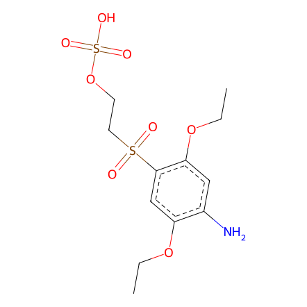 CCOc1cc(S(=O)(=O)CCOS(=O)(=O)O)c(OCC)cc1N